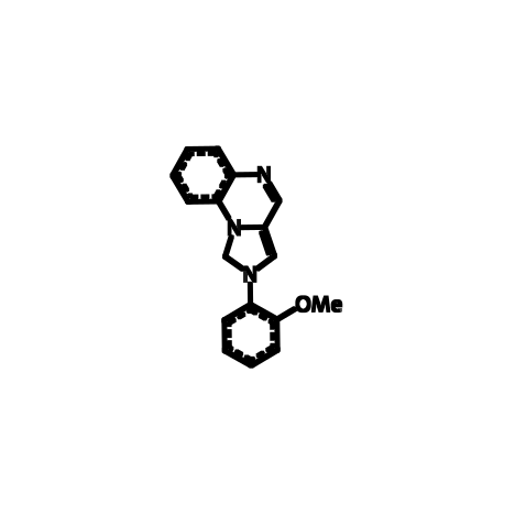 COc1ccccc1N1C=C2C=Nc3ccccc3N2C1